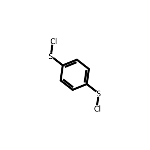 ClSc1ccc(SCl)cc1